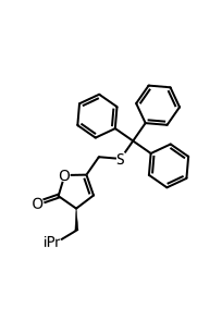 CC(C)C[C@@H]1C=C(CSC(c2ccccc2)(c2ccccc2)c2ccccc2)OC1=O